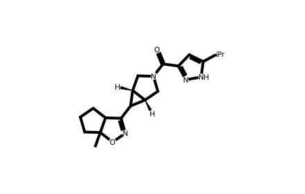 CC(C)c1cc(C(=O)N2C[C@@H]3C(C4=NOC5(C)CCCC45)[C@@H]3C2)n[nH]1